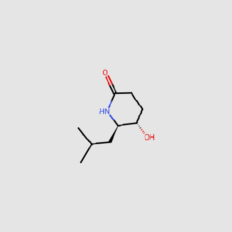 CC(C)C[C@H]1NC(=O)CC[C@@H]1O